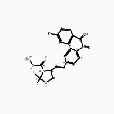 CN(C(=O)c1ccc(Cl)cc1)c1ccc(CCC2COC(C)(C)N2C(=O)OC(C)(C)C)cc1